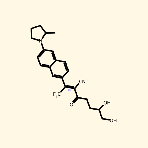 CC1CCCN1c1ccc2cc(/C(=C(\C#N)C(=O)CCC(O)CO)C(F)(F)F)ccc2c1